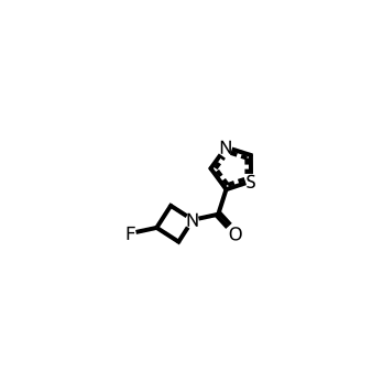 O=C(c1cncs1)N1CC(F)C1